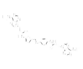 Nc1ncnc2c1ncn2CCC(=O)Nc1ccc(/N=C/c2ccc(NC(=O)CCn3cnc4c(N)ncnc43)s2)cc1